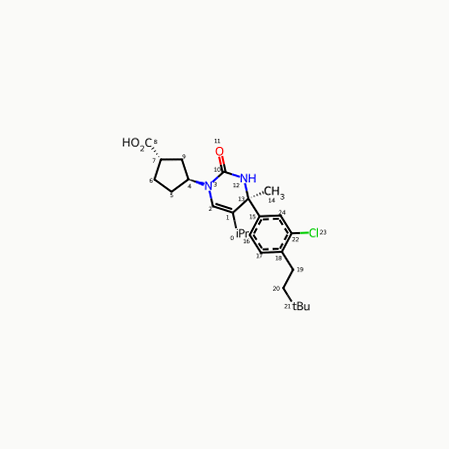 CC(C)C1=CN([C@H]2CC[C@H](C(=O)O)C2)C(=O)N[C@@]1(C)c1ccc(CCC(C)(C)C)c(Cl)c1